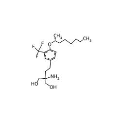 CCCCCC[C@H](C)Oc1ccc(CCC(N)(CO)CO)cc1C(F)(F)F